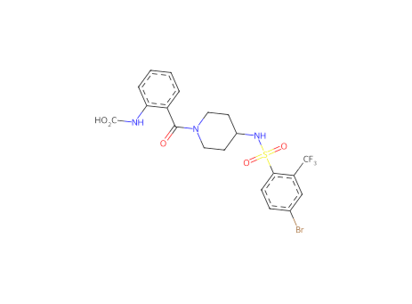 O=C(O)Nc1ccccc1C(=O)N1CCC(NS(=O)(=O)c2ccc(Br)cc2C(F)(F)F)CC1